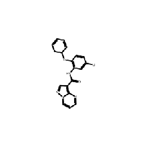 O=C(Nc1cc(Cl)ccc1OC1C=CC=CC1)c1cnn2cccnc12